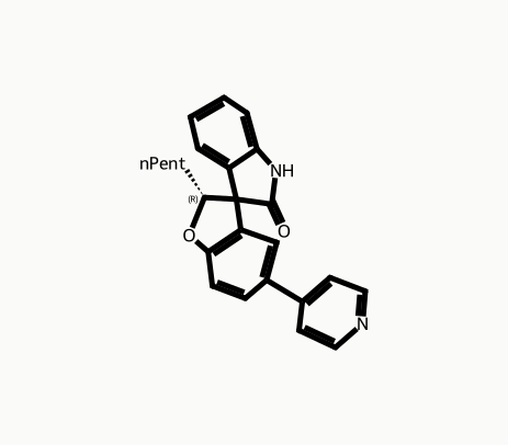 CCCCC[C@H]1Oc2ccc(-c3ccncc3)cc2C12C(=O)Nc1ccccc12